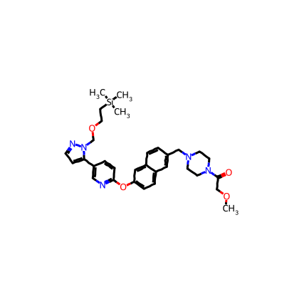 COCC(=O)N1CCN(Cc2ccc3cc(Oc4ccc(-c5ccnn5COCC[Si](C)(C)C)cn4)ccc3c2)CC1